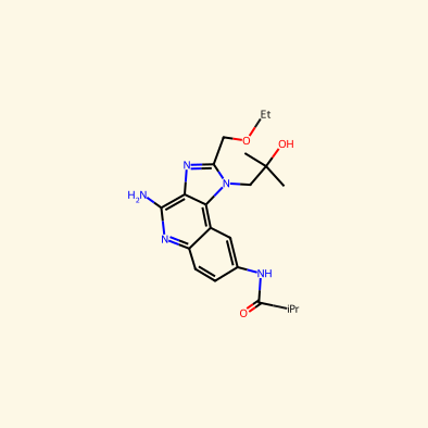 CCOCc1nc2c(N)nc3ccc(NC(=O)C(C)C)cc3c2n1CC(C)(C)O